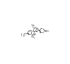 C[C@@H](Nc1nc(CO)nn2cc(C3=CCNCC3)cc12)c1cccc(C(F)(F)F)c1